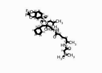 CC(C)CN(C(O)(CCNC(=O)CCCC(C)NC(=O)CN(C)C)Cc1ccccc1)S(=O)(=O)c1ccc2c(c1)OC(F)(F)O2